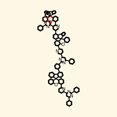 c1ccc(-c2cc(-c3ccc(-c4cccc5c4Oc4ccccc4C54c5ccccc5-c5c(-c6cnc(-c7cccc8c7Oc7ccccc7C87c8ccccc8-c8ccccc87)c(-c7cc(-c8ccccc8)nc(-c8ccccc8)n7)c6)cccc54)nc3)nc(-c3cccc(-c4cccc5c4-c4ccccc4C54c5ccccc5Oc5c(-c6cccc(-c7cc(-c8ccccc8)nc(-c8ccccc8)n7)n6)cccc54)c3)n2)cc1